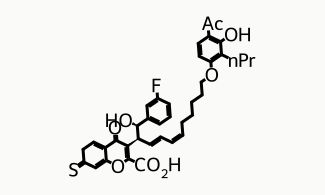 CCCc1c(OCCCCC/C=C\C=C\[C@@H](c2c(C(=O)O)oc3c(c2=O)=CCC(=S)C=3)[C@@H](O)c2cccc(F)c2)ccc(C(C)=O)c1O